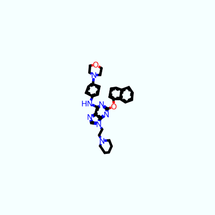 c1ccc2c(Oc3nc(Nc4ccc(N5CCOCC5)cc4)c4ncn(CCN5CCCCC5)c4n3)cccc2c1